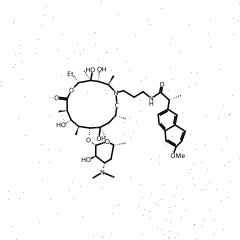 CC[C@H]1OC(=O)[C@H](C)[C@@H](O)[C@H](C)[C@@H](O[C@@H]2O[C@H](C)C[C@H](N(C)C)[C@H]2O)[C@](C)(O)C[C@@H](C)CN(CCCNC(=O)[C@H](C)c2ccc3cc(OC)ccc3c2)[C@H](C)[C@@H](O)[C@]1(C)O